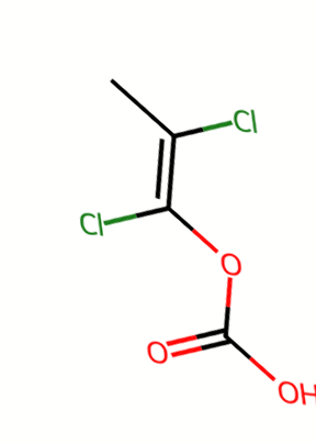 CC(Cl)=C(Cl)OC(=O)O